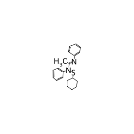 C/C(=N\c1ccccc1)N(SC1CCCCC1)c1ccccc1